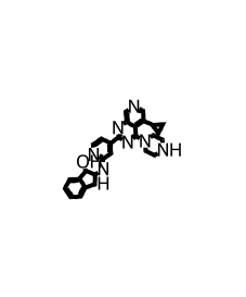 OC1c2ccccc2CC1Nc1cc(-c2nc(N3CCNCC3)c3c(C4CC4)cncc3n2)ccn1